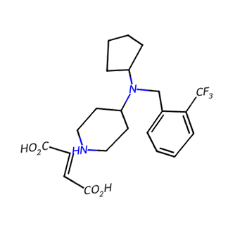 FC(F)(F)c1ccccc1CN(C1CCCC1)C1CCNCC1.O=C(O)/C=C/C(=O)O